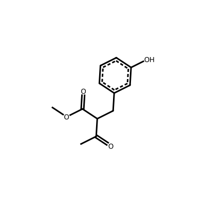 COC(=O)C(Cc1cccc(O)c1)C(C)=O